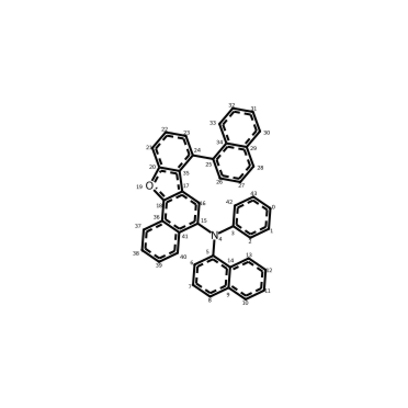 c1ccc(N(c2cccc3ccccc23)c2cc3c(oc4cccc(-c5cccc6ccccc56)c43)c3ccccc23)cc1